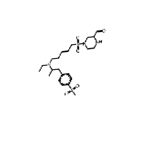 CCN(CCCCCS(=O)(=O)N1CCNC(C=O)C1)C(C)Cc1ccc(S(C)(=O)=O)cc1